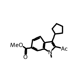 COC(=O)c1ccc2c(C3CCCC3)c(C(C)=O)n(C)c2c1